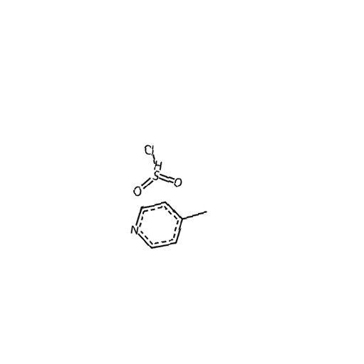 Cc1ccncc1.O=[SH](=O)Cl